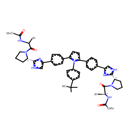 COC(=O)NC(C(=O)N1CCC[C@H]1c1nc(-c2ccc(-c3ccc(-c4ccc(-c5c[nH]c([C@@H]6CCCN6C(=O)[C@@H](NC(=O)OC)C(C)C)n5)cc4)n3-c3ccc(C(C)(C)C#N)cc3)cc2)c[nH]1)C(C)C